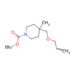 C=CCOCC1(C)CCN(C(=O)OC(C)(C)C)CC1